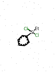 CC[Si](Cl)(Cl)c1cc[c]cc1